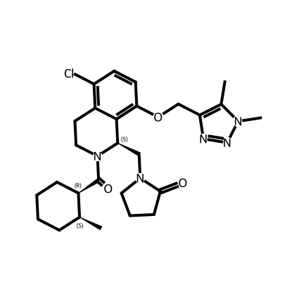 Cc1c(COc2ccc(Cl)c3c2[C@@H](CN2CCCC2=O)N(C(=O)[C@@H]2CCCC[C@@H]2C)CC3)nnn1C